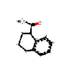 O=C(O)C(=O)C1CCCc2ccccc21